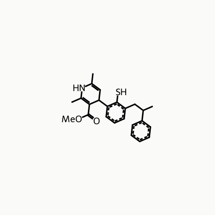 COC(=O)C1=C(C)NC(C)=CC1c1cccc(CC(C)c2ccccc2)c1S